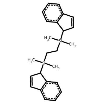 C[Si](C)(CC[Si](C)(C)C1C=Cc2ccccc21)C1C=Cc2ccccc21